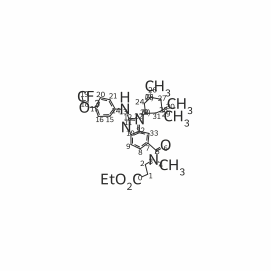 CCOC(=O)CCN(C)C(=O)c1ccc2nc(Nc3ccc(OC(F)(F)F)cc3)n([C@@H]3C[C@H](C)CC(C)(C)C3)c2c1